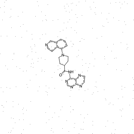 O=C(Nc1ncnc2nccnc12)C1CCN(c2cccc3cnccc23)CC1